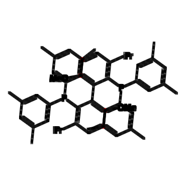 COc1ccc(C(C)C)c(P(c2cc(C)cc(C)c2)c2cc(C)cc(C)c2)c1-c1c(OC)ccc(C(C)C)c1P(c1cc(C)cc(C)c1)c1cc(C)cc(C)c1